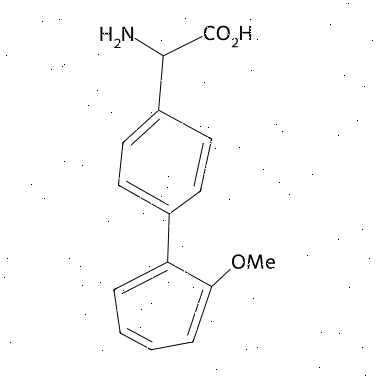 COc1ccccc1-c1ccc(C(N)C(=O)O)cc1